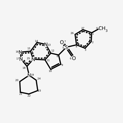 Cc1ccc(S(=O)(=O)C2C=Cc3c2ncc2nnc(N4CCCCC4)n32)cc1